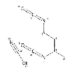 CC(CCN=C=O)N=C=O.N#CO